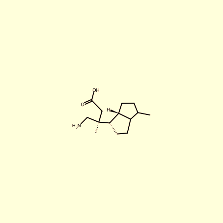 CC1CC[C@@H]2C1CC[C@@H]2[C@@](C)(CN)CC(=O)O